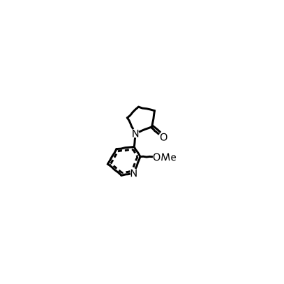 COc1ncccc1N1CCCC1=O